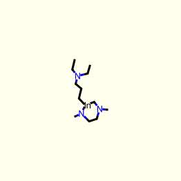 CCN(CC)CC[CH2][In]1[CH2]N(C)CC[N]1C